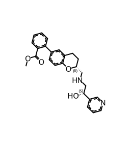 COC(=O)c1ccccc1-c1ccc2c(c1)CC[C@H](CNC[C@@H](O)c1cccnc1)O2